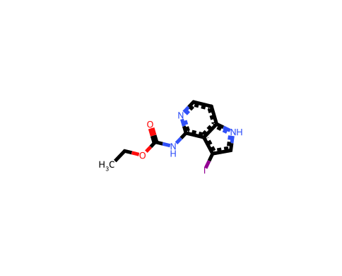 CCOC(=O)Nc1nccc2[nH]cc(I)c12